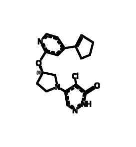 O=c1[nH]ncc(N2CC[C@@H](Oc3cc(C4=CCCC4)ccn3)C2)c1Cl